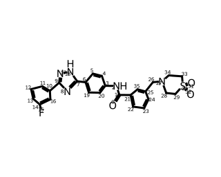 O=C(Nc1ccc(-c2nc(-c3cccc(F)c3)n[nH]2)cc1)c1cccc(CN2CCS(=O)(=O)CC2)c1